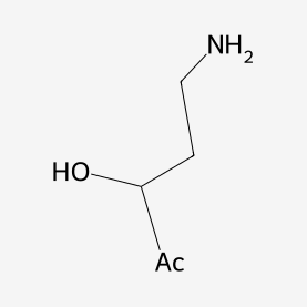 CC(=O)C(O)CCN